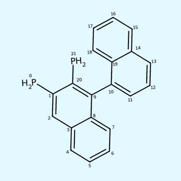 Pc1cc2ccccc2c(-c2cccc3ccccc23)c1P